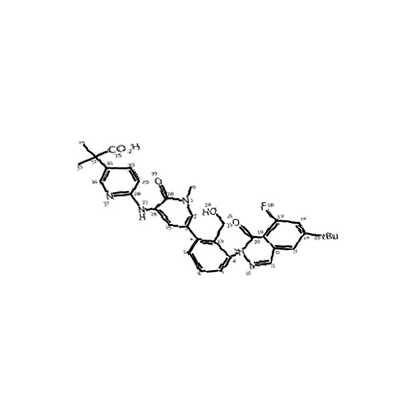 Cn1cc(-c2cccc(-n3ncc4cc(C(C)(C)C)cc(F)c4c3=O)c2CO)cc(Nc2ccc(C(C)(C)C(=O)O)cn2)c1=O